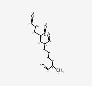 CC(C=O)CCCCC(C=O)CC(C=O)CCC=O